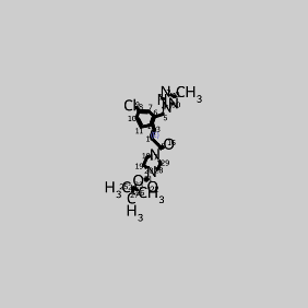 Cc1nnn(Cc2cc(Cl)ccc2/C=C/C(=O)N2CCN(C(=O)OC(C)(C)C)CC2)n1